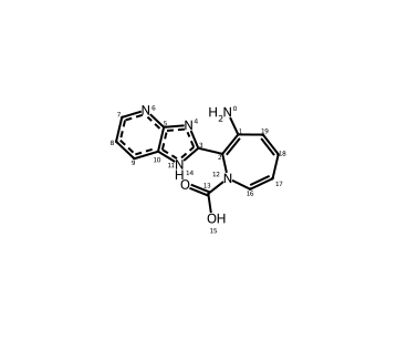 NC1=C(c2nc3ncccc3[nH]2)N(C(=O)O)C=CC=C1